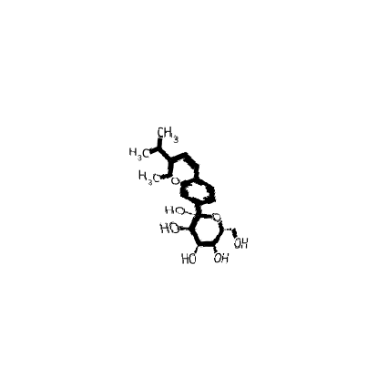 CC(=O)C(/C=C\c1ccc([C@@]2(O)O[C@H](CO)[C@@H](O)[C@@H](O)[C@H]2O)cc1)C(C)C